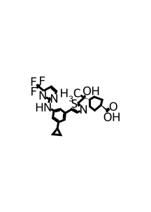 CC(O)(c1ncc(-c2cc(Nc3nccc(C(F)(F)F)n3)cc(C3CC3)c2)s1)[C@H]1CC[C@H](C(=O)O)CC1